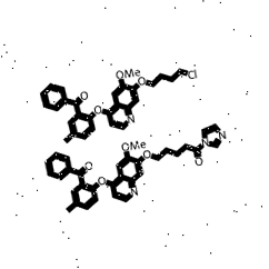 COc1cc2c(Oc3ccc(C)cc3C(=O)c3ccccc3)ccnc2cc1OCCCCC(=O)n1ccnc1.COc1cc2c(Oc3ccc(C)cc3C(=O)c3ccccc3)ccnc2cc1OCCCCCl